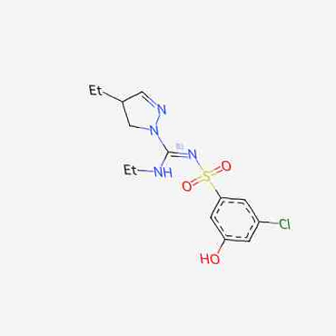 CCN/C(=N\S(=O)(=O)c1cc(O)cc(Cl)c1)N1CC(CC)C=N1